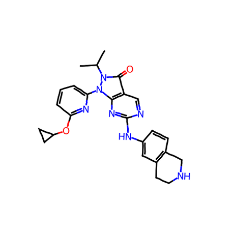 CC(C)n1c(=O)c2cnc(Nc3ccc4c(c3)CCNC4)nc2n1-c1cccc(OC2CC2)n1